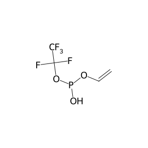 C=COP(O)OC(F)(F)C(F)(F)F